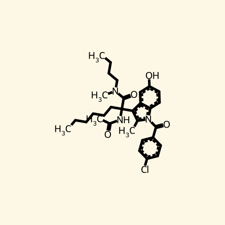 CCCCCCC(NC(C)=O)(C(=O)N(C)CCCC)c1c(C)n(C(=O)c2ccc(Cl)cc2)c2ccc(O)cc12